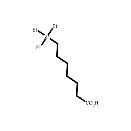 C[CH2][Zr]([CH2]C)([CH2]C)[CH2]CCCCCC(=O)O